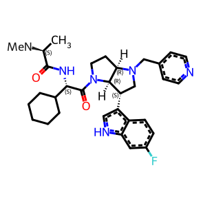 CN[C@@H](C)C(=O)N[C@H](C(=O)N1CC[C@@H]2[C@H]1[C@@H](c1c[nH]c3cc(F)ccc13)CN2Cc1ccncc1)C1CCCCC1